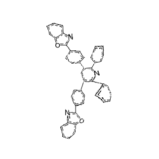 c1ccc(-c2nc(-c3ccccc3)c(-c3ccc(-c4nc5ccccc5o4)cc3)cc2-c2ccc(-c3nc4ccccc4o3)cc2)cc1